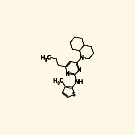 CCCc1cc(N2CCCC3CCCCC32)nc(Nc2sccc2C)n1